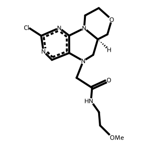 COCCNC(=O)CN1C[C@@H]2COCCN2c2nc(Cl)ncc21